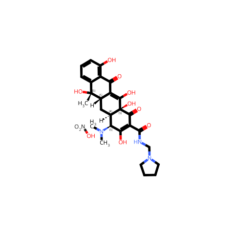 CN(C)[C@@H]1C(O)=C(C(=O)NCN2CCCC2)C(=O)[C@@]2(O)C(O)=C3C(=O)c4c(O)cccc4[C@@](C)(O)[C@H]3C[C@H]12.O=[N+]([O-])O